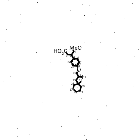 COCC(CC(=O)O)c1ccc(OCC(I)CC2(C)CCCCC2)cc1